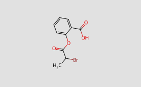 CC(Br)C(=O)Oc1ccccc1C(=O)O